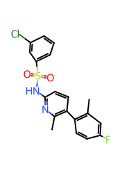 Cc1cc(F)ccc1-c1ccc(NS(=O)(=O)c2cccc(Cl)c2)nc1C